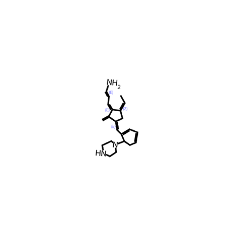 C=C1/C(=C/C2=CC=CCC2N2CCNCC2)CC(=C/C)/C1=C\C=C\N